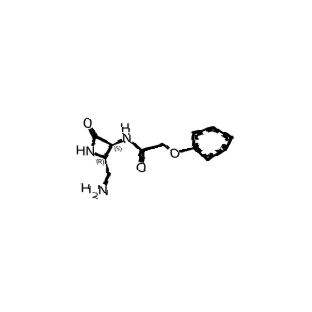 NC[C@H]1NC(=O)[C@H]1NC(=O)COc1ccccc1